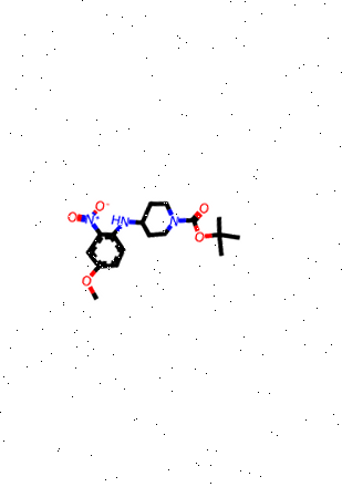 COc1ccc(NC2CCN(C(=O)OC(C)(C)C)CC2)c([N+](=O)[O-])c1